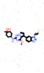 COc1nc(NC2CCC(C)(O)CC2)nn2ccc(-c3ccc4nnn(/C=C/F)c4c3)c12